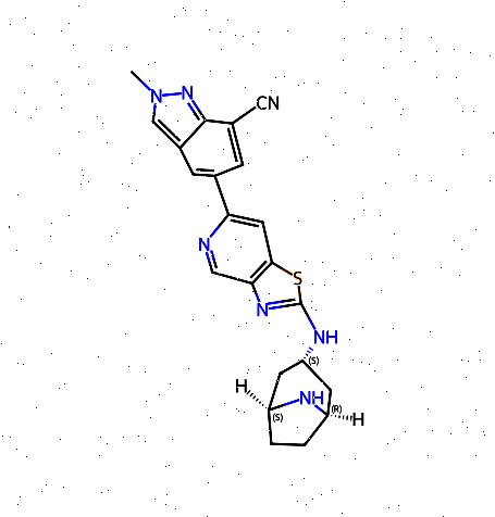 Cn1cc2cc(-c3cc4sc(N[C@@H]5C[C@H]6CC[C@@H](C5)N6)nc4cn3)cc(C#N)c2n1